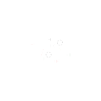 Cc1cccc(SC[C@H]2C(Cl)CC(O)[C@@H]2CCc2ccc(C(=O)OCCO)c(Cl)c2)c1C